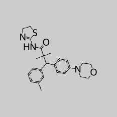 Cc1cccc(C(c2ccc(N3CCOCC3)cc2)C(C)(C)C(=O)NC2=NCCS2)c1